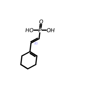 O=P(O)(O)/C=C/C1=CCCCC1